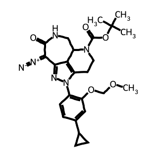 COCOc1cc(C2CC2)ccc1-n1nc2c3c1CCN(C(=O)OC(C)(C)C)C3CNC(=O)C2=[N+]=[N-]